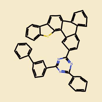 c1ccc(-c2cccc(-c3nc(-c4ccccc4)nc(-c4ccc5c6ccccc6c6ccc7c8ccccc8sc7c6c5c4)n3)c2)cc1